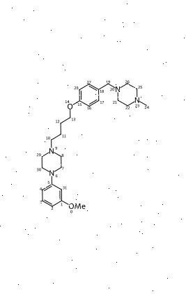 COc1cccc(N2CCN(CCCCOc3ccc(CN4CCN(C)CC4)cc3)CC2)c1